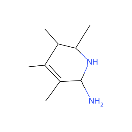 CC1=C(C)C(C)C(C)NC1N